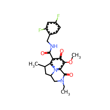 CCN1CC2CC(C)c3c(C(=O)NCc4ccc(F)cc4F)c(=O)c(OC)c(n32)C1=O